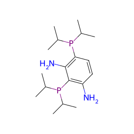 CC(C)P(c1ccc(N)c(P(C(C)C)C(C)C)c1N)C(C)C